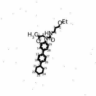 CCOCCCNC(=O)N1CC(C)Oc2cc(-c3ccc(C4CCCCC4)cc3)ccc21